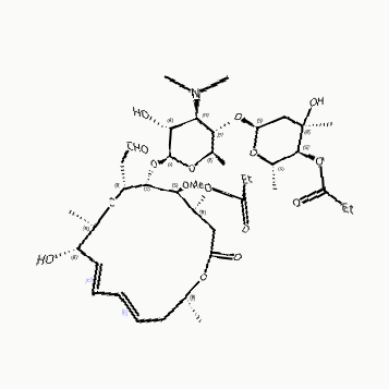 CCC(=O)O[C@@H]1CC(=O)O[C@H](C)C/C=C/C=C/[C@H](O)[C@H](C)C[C@H](CC=O)[C@H](O[C@@H]2O[C@H](C)[C@@H](O[C@H]3C[C@@](C)(O)[C@@H](OC(=O)CC)[C@H](C)O3)[C@H](N(C)C)[C@H]2O)[C@H]1OC